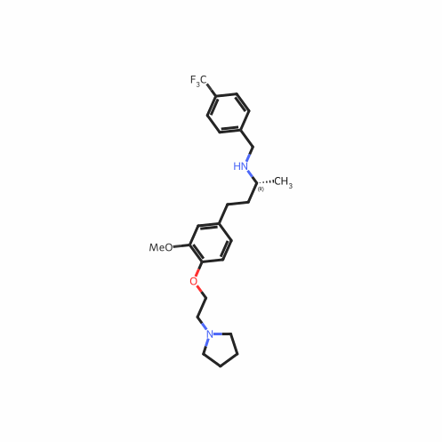 COc1cc(CC[C@@H](C)NCc2ccc(C(F)(F)F)cc2)ccc1OCCN1CCCC1